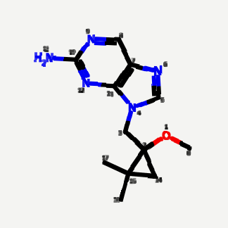 COC1(Cn2cnc3cnc(N)nc32)CC1(C)C